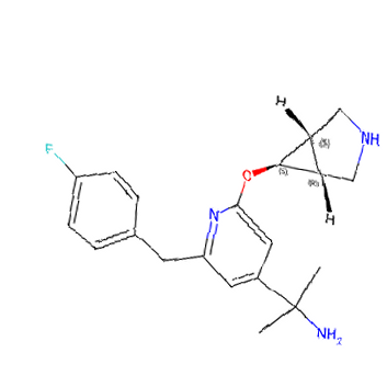 CC(C)(N)c1cc(Cc2ccc(F)cc2)nc(O[C@H]2[C@@H]3CNC[C@@H]32)c1